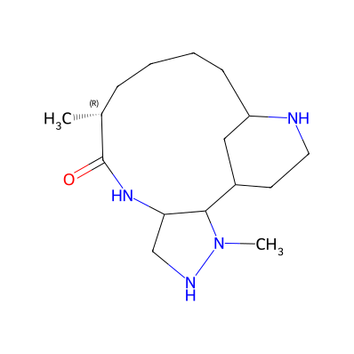 C[C@@H]1CCCCC2CC(CCN2)C2C(CNN2C)NC1=O